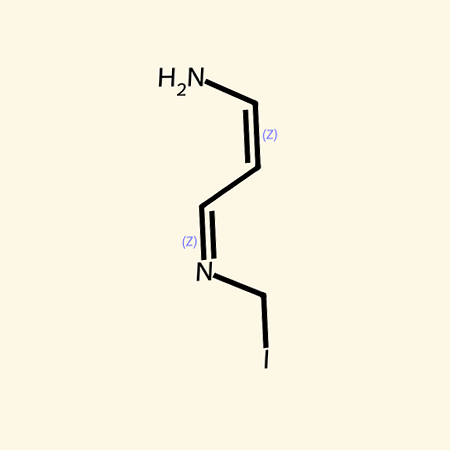 N/C=C\C=N/CI